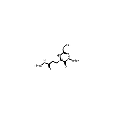 CCCCCCNC(=O)CC[C@@H](NC(=O)OC(C)(C)C)C(=O)NCCCCCC